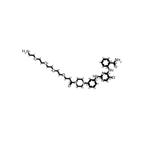 NCCOCCOCCOCCOCCC(=O)N1CCN(c2cccc(Nc3ncc(Cl)c(Nc4ccccc4C(N)=O)n3)c2)CC1